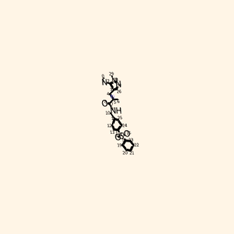 C=Nc1c(/C=C(\C)C(=O)NCc2ccc(S(=O)(=O)c3ccccc3)cc2)cnn1C